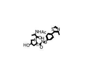 CC(=O)N[C@@H](C)C(=O)N1C[C@H](O)C[C@H]1C(=O)NOc1ccc(-c2scnc2C)cc1